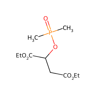 CCOC(=O)CC(OP(C)(C)=O)C(=O)OCC